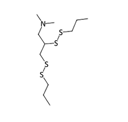 CCCSSCC(CN(C)C)SSCCC